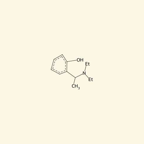 CCN(CC)C(C)c1ccccc1O